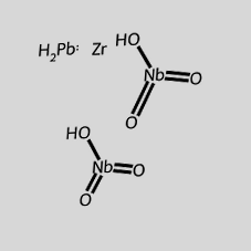 [O]=[Nb](=[O])[OH].[O]=[Nb](=[O])[OH].[PbH2].[Zr]